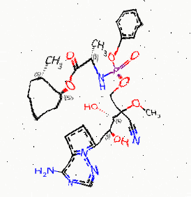 COC(C#N)(COP(=O)(N[C@@H](C)C(=O)O[C@H]1CCCC[C@@H]1C)Oc1ccccc1)[C@@H](O)[C@@H](O)c1ccc2c(N)ncnn12